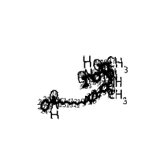 COc1cc(N2CCN(CCCCCCCCNC(=O)C3CCCCC3)CC2)ccc1Nc1ncc2c(C)cc(=O)n(-c3cccc(NC(=O)C4CC4)c3)c2n1